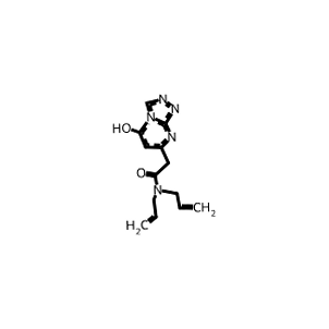 C=CCN(CC=C)C(=O)Cc1cc(O)n2cnnc2n1